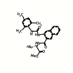 CCCC[C@H](NC(=O)c1cc2ccccc2cc1NC(=O)Nc1c(C)cc(C)cc1C)C(=O)OC